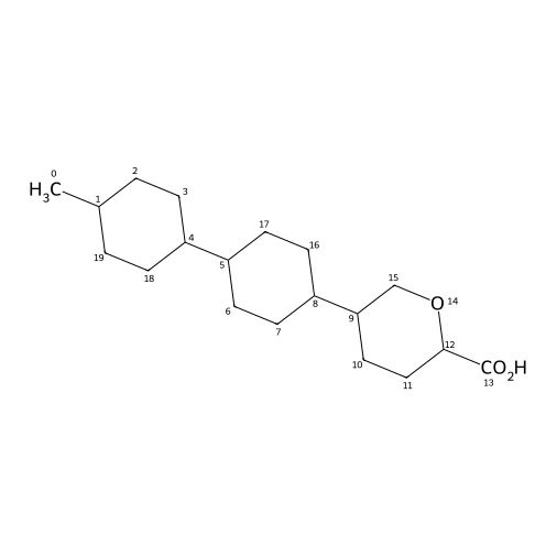 CC1CCC(C2CCC(C3CCC(C(=O)O)OC3)CC2)CC1